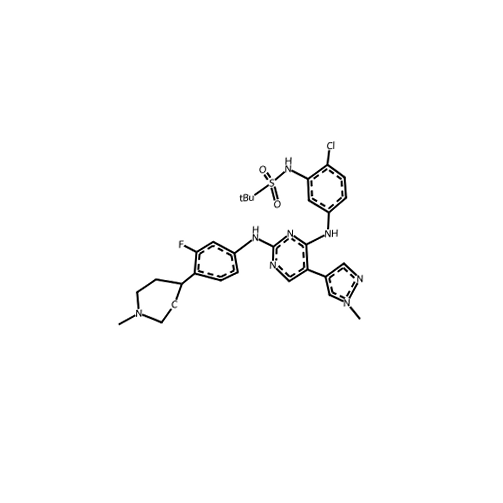 CN1CCC(c2ccc(Nc3ncc(-c4cnn(C)c4)c(Nc4ccc(Cl)c(NS(=O)(=O)C(C)(C)C)c4)n3)cc2F)CC1